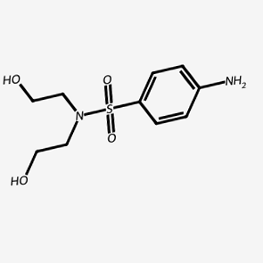 Nc1ccc(S(=O)(=O)N(CCO)CCO)cc1